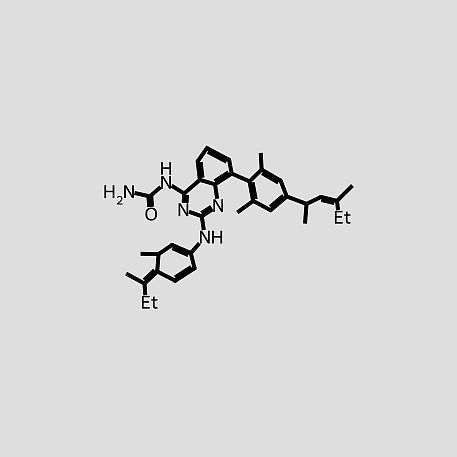 CC/C(C)=C\C(C)c1cc(C)c(-c2cccc3c(NC(N)=O)nc(NC4=CC(C)/C(=C(\C)CC)C=C4)nc23)c(C)c1